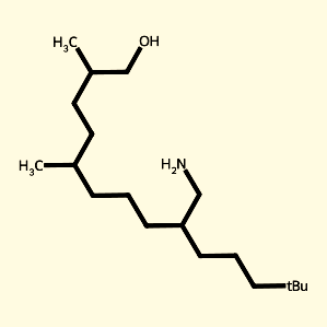 CC(CO)CCC(C)CCCC(CN)CCCC(C)(C)C